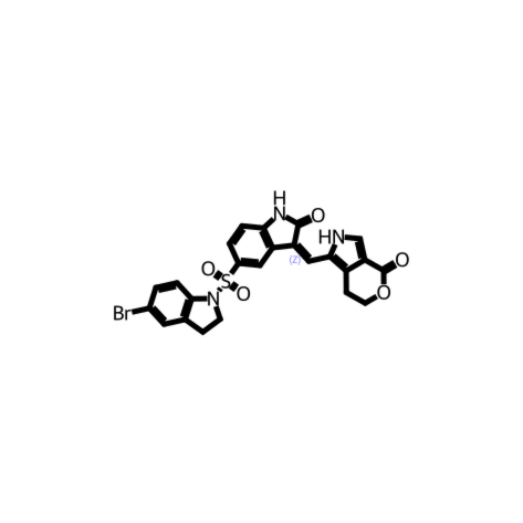 O=C1Nc2ccc(S(=O)(=O)N3CCc4cc(Br)ccc43)cc2/C1=C/c1[nH]cc2c1CCOC2=O